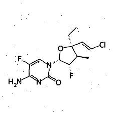 CC[C@@]1(C=CCl)O[C@@H](n2cc(F)c(N)nc2=O)[C@@H](F)[C@@H]1C